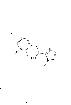 CCn1ccnc1C(O)Cc1cccc(C)c1C